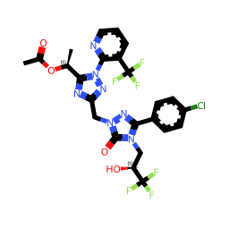 CC(=O)O[C@@H](C)c1nc(Cn2nc(-c3ccc(Cl)cc3)n(C[C@H](O)C(F)(F)F)c2=O)nn1-c1ncccc1C(F)(F)F